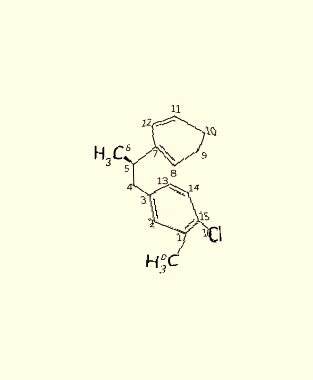 Cc1cc(C[C@@H](C)C2=CCCC=C2)ccc1Cl